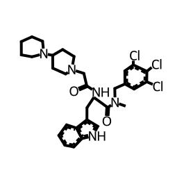 CN(Cc1cc(Cl)c(Cl)c(Cl)c1)C(=O)C(Cc1c[nH]c2ccccc12)NC(=O)CN1CCC(N2CCCCC2)CC1